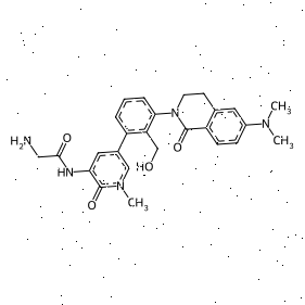 CN(C)c1ccc2c(c1)CCN(c1cccc(-c3cc(NC(=O)CN)c(=O)n(C)c3)c1CO)C2=O